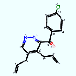 C=CCc1cnnc(C(=O)c2ccc(Cl)cc2)c1CC=C